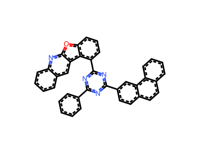 c1ccc(-c2nc(-c3ccc4ccc5ccccc5c4c3)nc(-c3cccc4oc5nc6ccccc6cc5c34)n2)cc1